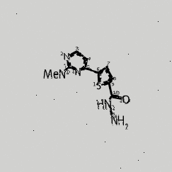 CNc1nccc(-c2ccc(C(=O)NN)s2)n1